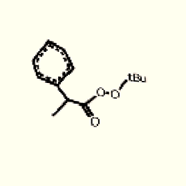 CC(C(=O)OOC(C)(C)C)c1ccccc1